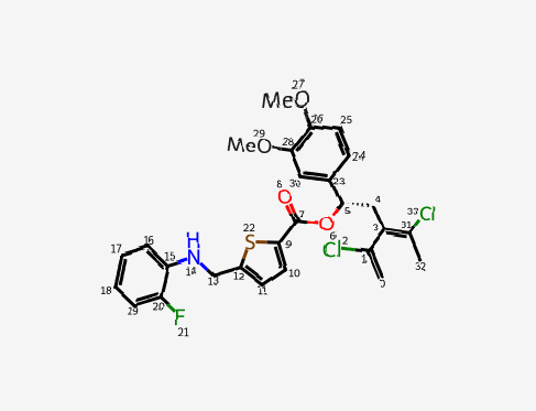 C=C(Cl)/C(C[C@H](OC(=O)c1ccc(CNc2ccccc2F)s1)c1ccc(OC)c(OC)c1)=C(\C)Cl